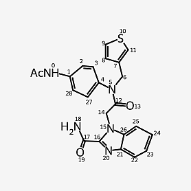 CC(=O)Nc1ccc(N(Cc2ccsc2)C(=O)Cn2c(C(N)=O)nc3ccccc32)cc1